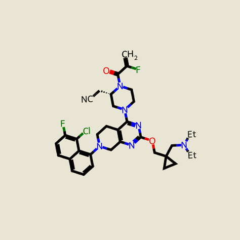 C=C(F)C(=O)N1CCN(c2nc(OCC3(CN(CC)CC)CC3)nc3c2CCN(c2cccc4ccc(F)c(Cl)c24)C3)C[C@@H]1CC#N